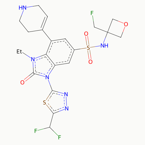 CCn1c(=O)n(-c2nnc(C(F)F)s2)c2cc(S(=O)(=O)NC3(CF)COC3)cc(C3=CCNCC3)c21